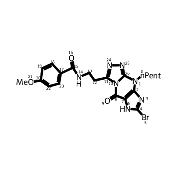 CCCCCn1c2nc(Br)[nH]c2c(=O)n2c(CCNC(=O)c3ccc(OC)cc3)nnc12